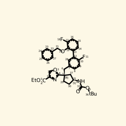 CCOC(=O)c1coc([C@@]2(Cc3ccc(F)c(-c4cccc(F)c4OCc4ccccc4)c3)CC[C@H](NC(=O)OC(C)(C)C)C2)n1